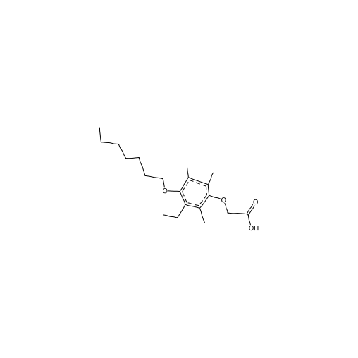 CCCCCCCOc1c(C)c(C)c(OCC(=O)O)c(C)c1CC